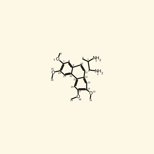 CC(N)CN.COc1cc2ccc3cc(OC)c(OC)cc3c2cc1OC